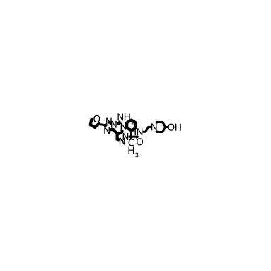 CC(C(=O)NCCN1CCC(O)CC1)(c1ccccc1)n1ncc2c1nc(N)n1nc(-c3ccco3)nc21